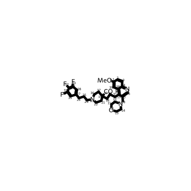 COc1ccc2ncc(CN3CCOCC3)c(CCCC3(C(=O)O)CCN(CCCc4cc(F)c(F)c(F)c4)CC3)c2c1